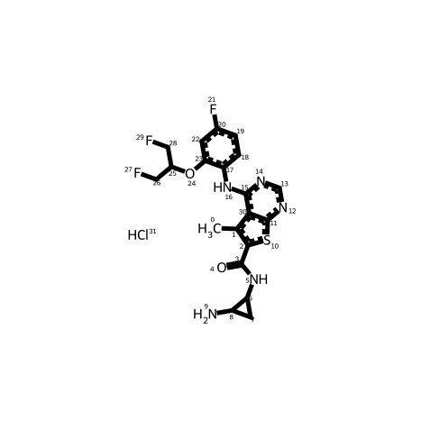 Cc1c(C(=O)NC2CC2N)sc2ncnc(Nc3ccc(F)cc3OC(CF)CF)c12.Cl